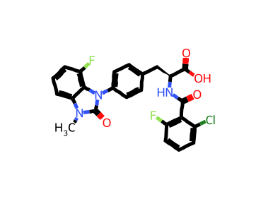 Cn1c(=O)n(-c2ccc(C[C@H](NC(=O)c3c(F)cccc3Cl)C(=O)O)cc2)c2c(F)cccc21